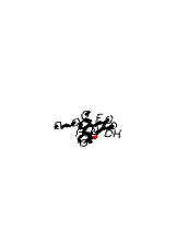 COCCCOc1cc2c(cc1OC)-c1c(F)c(=O)c(C(=O)O)cn1[C@H]1[C@@H]2CCOC1(C)C